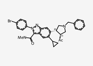 CNC(=O)c1c2cc(C3CC3)c([C@@H]3CN(Cc4ccccc4)C[C@H]3C(C)=O)cc2nn1-c1ccc(Br)cc1